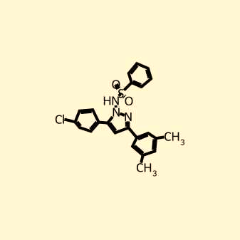 Cc1cc(C)cc(-c2cc(-c3ccc(Cl)cc3)n(NS(=O)(=O)c3ccccc3)n2)c1